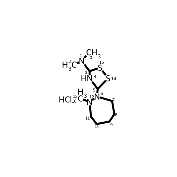 CN(C)C1NC(N2CCCCCN2C)SS1.Cl